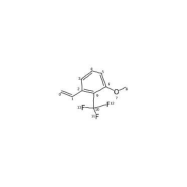 C=Cc1cccc(OC)c1C(F)(F)F